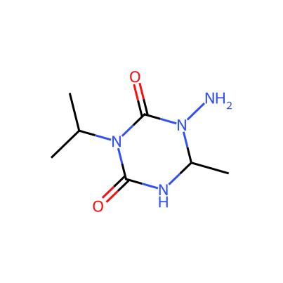 CC1NC(=O)N(C(C)C)C(=O)N1N